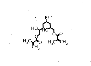 C=C(C)C(=O)OCC(O)CCC(CC)CC(O)COC(=O)C(=C)C